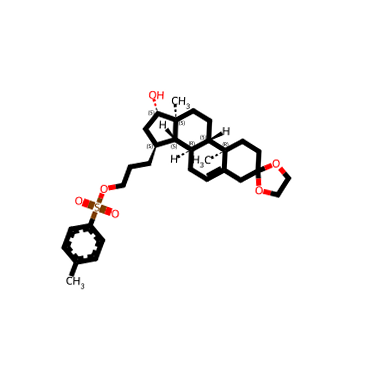 Cc1ccc(S(=O)(=O)OCCC[C@H]2C[C@H](O)[C@@]3(C)CC[C@H]4[C@@H](CC=C5CC6(CC[C@@]54C)OCCO6)[C@H]23)cc1